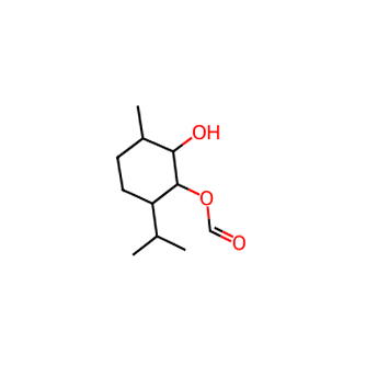 CC(C)C1CCC(C)C(O)C1OC=O